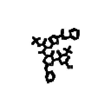 CC(C(Cc1ccc(C(=O)Nc2ccccc2)o1)C(=O)OC(C)(C)C)N(CC=Cc1ccccc1)C(=O)C(O)C(CC(=O)O)C(=O)OC(C)(C)C